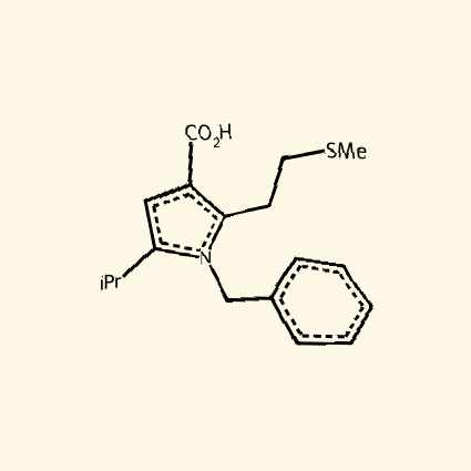 CSCCc1c(C(=O)O)cc(C(C)C)n1Cc1ccccc1